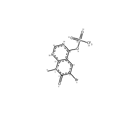 Cn1c(=O)c(Br)cc2c(OS(=O)(=O)C(F)(F)F)ncnc21